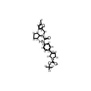 Cc1ccc(CN(C(=O)Nc2ccc(C3=CCN(C(=O)OC(C)(C)C)C3)cc2)C2CCCC2)o1